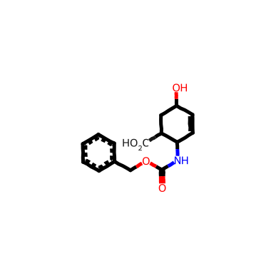 O=C(NC1C=CC(O)CC1C(=O)O)OCc1ccccc1